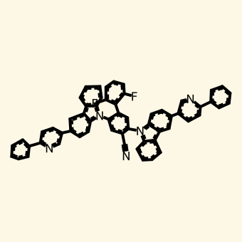 N#Cc1cc(-n2c3ccccc3c3cc(-c4ccc(-c5ccccc5)nc4)ccc32)c(-c2c(F)cccc2F)cc1-n1c2ccccc2c2cc(-c3ccc(-c4ccccc4)nc3)ccc21